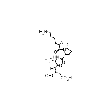 C[C@H](NC(=O)[C@@H]1CCCN1C(=O)[C@@H](N)CCCCN)C(=O)N[C@H]([C]=O)CC(=O)O